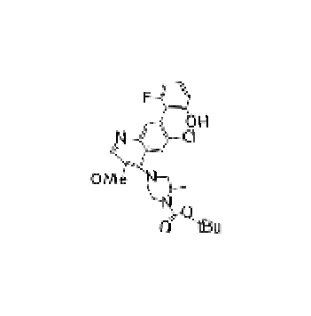 COc1cnc2cc(-c3c(O)cccc3F)c(Cl)cc2c1N1CCN(C(=O)OC(C)(C)C)C(C)C1